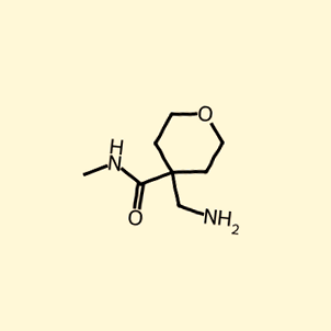 CNC(=O)C1(CN)CCOCC1